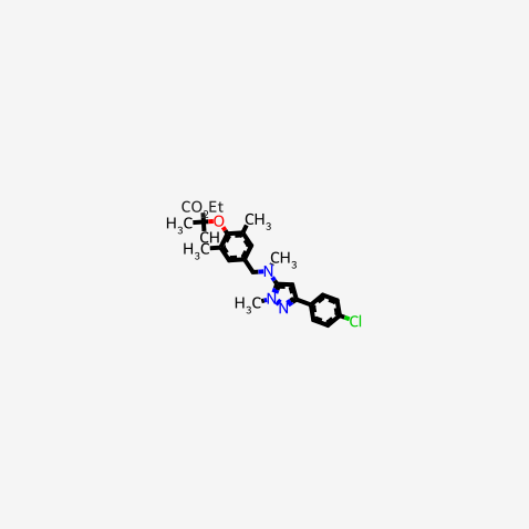 CCOC(=O)C(C)(C)Oc1c(C)cc(CN(C)c2cc(-c3ccc(Cl)cc3)nn2C)cc1C